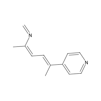 C=N/C(C)=C\C=C(/C)c1ccncc1